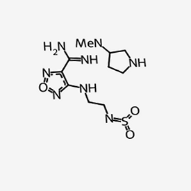 CNC1CCNC1.N=C(N)c1nonc1NCCN=S(=O)=O